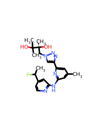 Cc1cc(Nc2cc(C(C)F)ccn2)nc(-c2cn(C[C@](C)(O)C(C)(C)O)nn2)c1